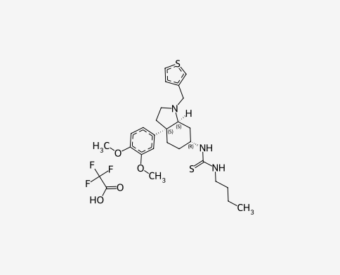 CCCCNC(=S)N[C@@H]1CC[C@@]2(c3ccc(OC)c(OC)c3)CCN(Cc3ccsc3)[C@H]2C1.O=C(O)C(F)(F)F